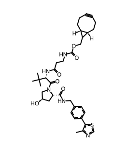 Cc1ncsc1-c1ccc(CNC(=O)[C@@H]2C[C@@H](O)CN2C(=O)[C@@H](NC(=O)CCNC(=O)OCC2[C@H]3CCC#CCC[C@@H]23)C(C)(C)C)cc1